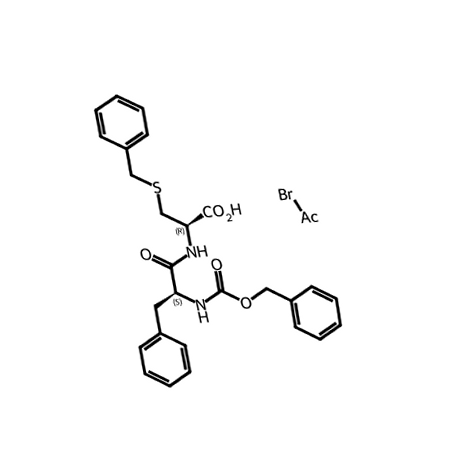 CC(=O)Br.O=C(N[C@@H](Cc1ccccc1)C(=O)N[C@@H](CSCc1ccccc1)C(=O)O)OCc1ccccc1